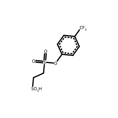 O=S(=O)(O)CCS(=O)(=O)Oc1ccc(C(F)(F)F)cc1